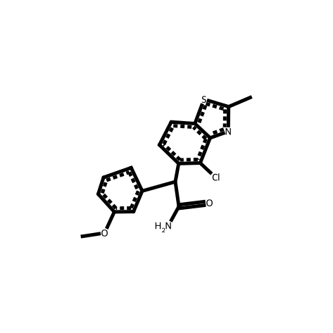 COc1cccc(C(C(N)=O)c2ccc3sc(C)nc3c2Cl)c1